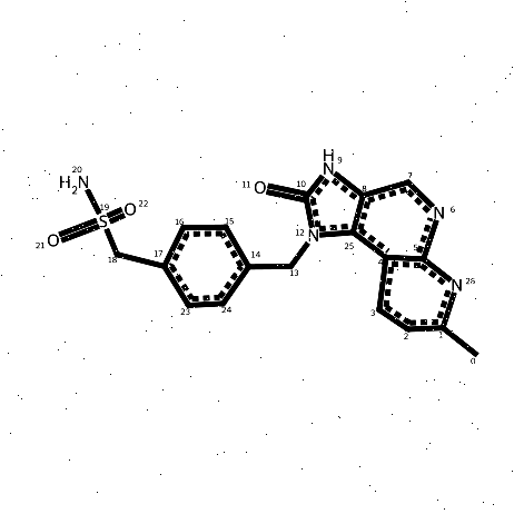 Cc1ccc2c(ncc3[nH]c(=O)n(Cc4ccc(CS(N)(=O)=O)cc4)c32)n1